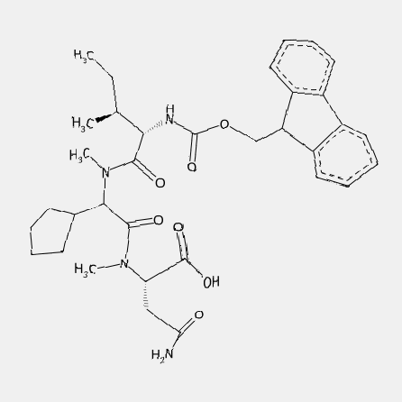 CC[C@H](C)[C@H](NC(=O)OCC1c2ccccc2-c2ccccc21)C(=O)N(C)C(C(=O)N(C)[C@@H](CC(N)=O)C(=O)O)C1CCCC1